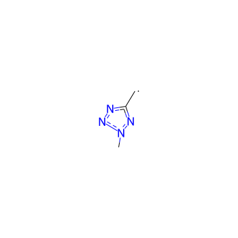 [CH2]c1nnn(C)n1